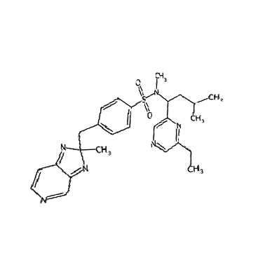 CCc1cncc(C(CC(C)C)N(C)S(=O)(=O)c2ccc(CC3(C)N=c4ccncc4=N3)cc2)n1